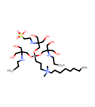 CCCCCCCCCCCCCCCCC[N+](C)(C)CCC[Si](OCC(CO)(CO)NCCS(=O)(=O)[O-])(OCC(CO)(CO)NCCS(=O)(=O)O)OCC(CO)(CO)NCCS(=O)(=O)O